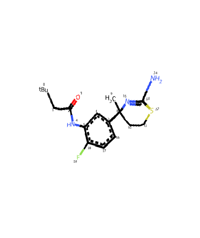 CC(C)(C)CC(=O)Nc1cc(C2(C)CCSC(N)=N2)ccc1F